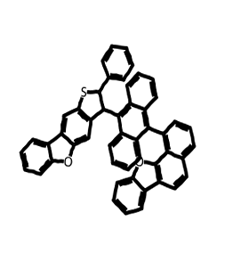 c1ccc(C2Sc3cc4c(cc3C2c2c3ccccc3c(-c3cccc5ccc6c7ccccc7oc6c35)c3ccccc23)oc2ccccc24)cc1